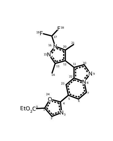 CCOC(=O)c1cnc(-c2ccn3ncc(-c4c(C)nn(C(F)F)c4C)c3c2)o1